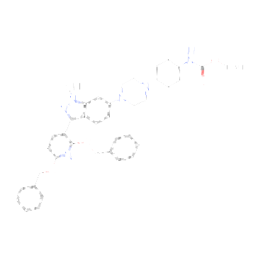 Cn1nc(-c2ccc(OCc3ccccc3)nc2OCc2ccccc2)c2ccc(N3CCN([C@H]4CC[C@H](NC(=O)OC(C)(C)C)CC4)CC3)cc21